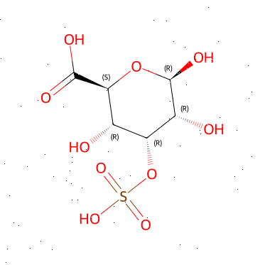 O=C(O)[C@H]1O[C@@H](O)[C@H](O)[C@H](OS(=O)(=O)O)[C@@H]1O